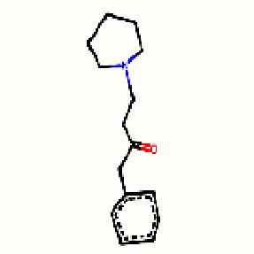 O=C(CCN1CCCCC1)Cc1ccccc1